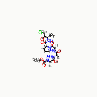 CC(C)[C@H](NC(=O)[C@@H]1CCCN1C(=O)[C@H](C)NC(=O)[C@@H](C)NC(=O)[C@H](C)NC(=O)OC(C)(C)C)C(=O)CCl